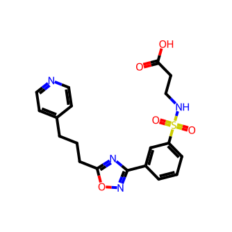 O=C(O)CCNS(=O)(=O)c1cccc(-c2noc(CCCc3ccncc3)n2)c1